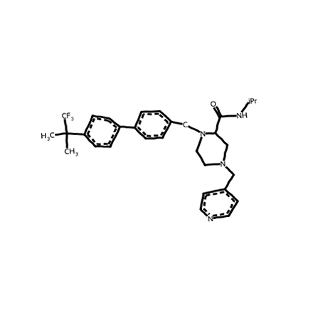 CC(C)NC(=O)C1CN(Cc2ccncc2)CCN1Cc1ccc(-c2ccc(C(C)(C)C(F)(F)F)cc2)cc1